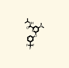 CC(C)NC(=O)c1cc(N(C)C)cc(Oc2cccc(C(F)(F)F)c2)n1